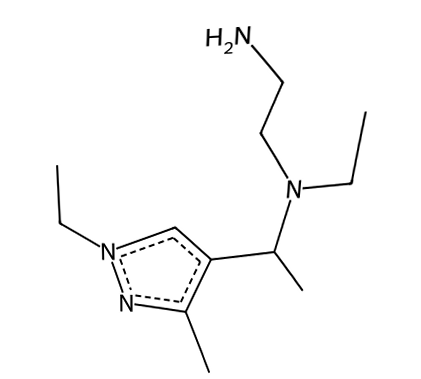 CCN(CCN)C(C)c1cn(CC)nc1C